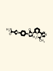 CC(C)n1cnnc1-c1cccc(N2CCN(c3ccc(N4CC(C(N)=O)C4)cc3)C2=O)n1